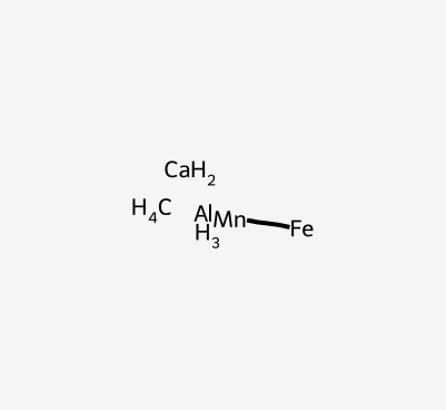 C.[AlH3].[CaH2].[Mn][Fe]